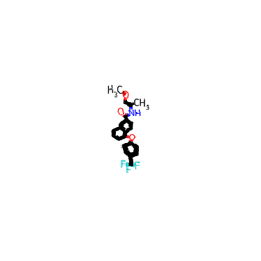 COC[C@@H](C)NC(=O)c1ccc2c(Oc3ccc(C(F)(F)F)cc3)cccc2c1